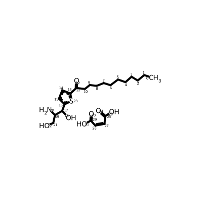 CCCCCCCCCCCC(=O)c1ccc(C(O)C(N)CO)s1.O=C(O)/C=C\C(=O)O